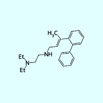 CCN(CC)CCNCC=C(C)c1ccccc1-c1ccccc1